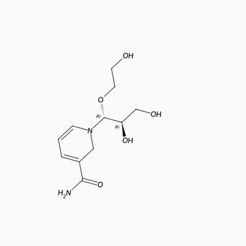 NC(=O)C1=CC=CN([C@H](OCCO)[C@H](O)CO)C1